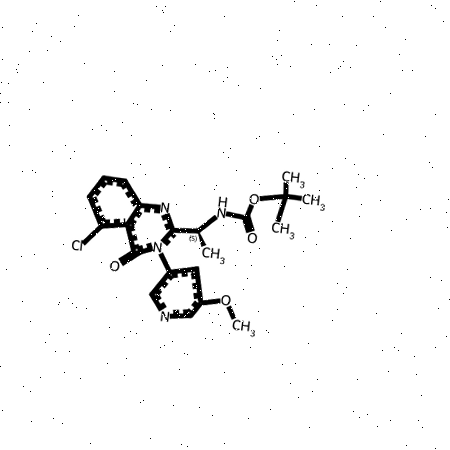 COc1cncc(-n2c([C@H](C)NC(=O)OC(C)(C)C)nc3cccc(Cl)c3c2=O)c1